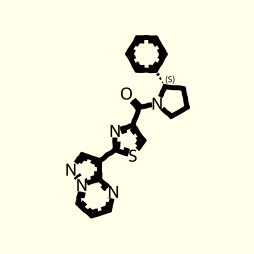 O=C(c1csc(-c2cnn3cccnc23)n1)N1CCC[C@H]1c1ccccc1